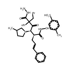 CCCC(CC(C)C)(C(=O)NN)C(=O)[C@@H]([C@H](C/C=C/c1ccccc1)C(=O)NO)N1CCC(C)C1.Cc1ccc(S(=O)(=O)O)cc1